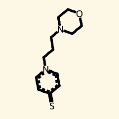 S=c1ccn(CCCN2CCOCC2)cc1